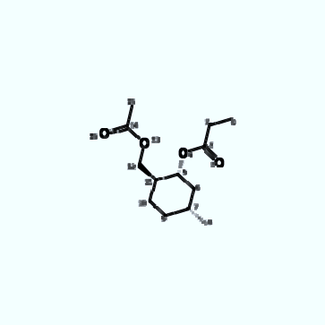 CCC(=O)O[C@@H]1C[C@H](C)CC[C@H]1COC(C)=O